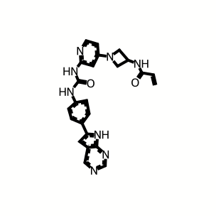 C=CC(=O)NC1CN(c2ccnc(NC(=O)Nc3ccc(-c4cc5cncnc5[nH]4)cc3)c2)C1